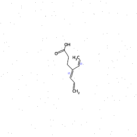 C=C/C=C(\C=C/C)CCC(=O)O